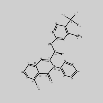 C[C@H](Nc1cc(N)c(C(F)(F)F)cn1)c1cc2cccc(Cl)c2c(=O)n1-c1ccccc1